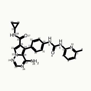 Cc1cccc(NC(=O)Nc2ccc(-c3c(C(=O)NC4CC4)cn4ncnc(N)c34)cc2)n1